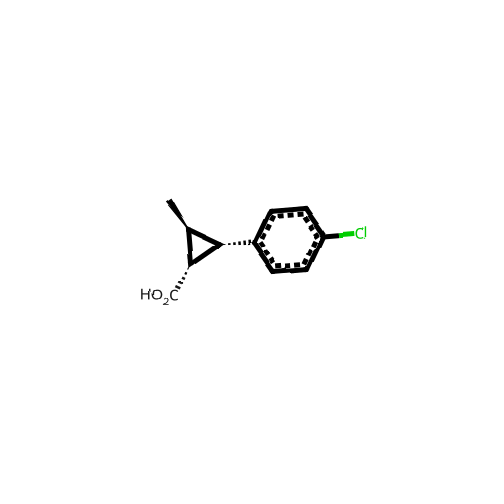 C[C@@H]1[C@@H](C(=O)O)[C@H]1c1ccc(Cl)cc1